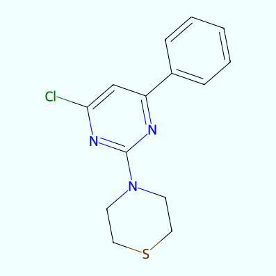 Clc1cc(-c2ccccc2)nc(N2CCSCC2)n1